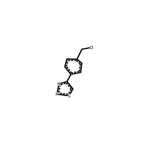 ClCc1ccc(-c2csnn2)cc1